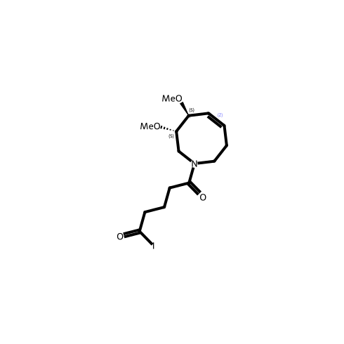 CO[C@H]1/C=C\CCN(C(=O)CCCC(=O)I)C[C@@H]1OC